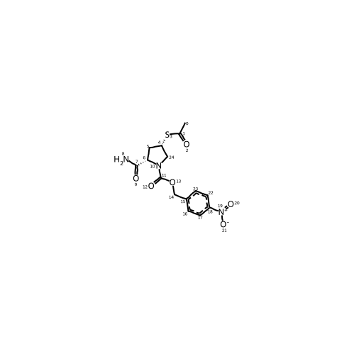 CC(=O)S[C@H]1C[C@@H](C(N)=O)N(C(=O)OCc2ccc([N+](=O)[O-])cc2)C1